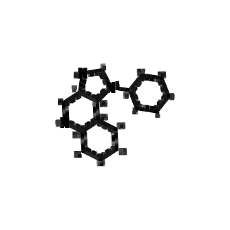 c1ccc(-n2cnc3cnc4ccccc4c32)cc1